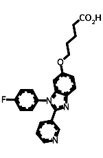 O=C(O)CCCCOc1ccc2nc(-c3cccnc3)n(-c3ccc(F)cc3)c2c1